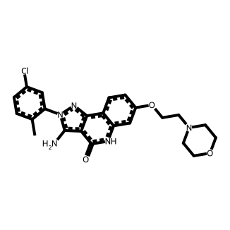 Cc1ccc(Cl)cc1-n1nc2c(c1N)c(=O)[nH]c1cc(OCCN3CCOCC3)ccc12